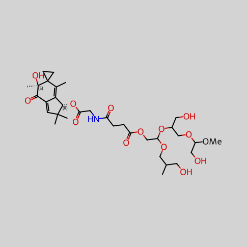 COC(CO)OCC(CO)OC(COC(=O)CCC(=O)NCC(=O)O[C@H]1C2=C(C)C3(CC3)[C@](C)(O)C(=O)C2=CC1(C)C)OCC(C)CO